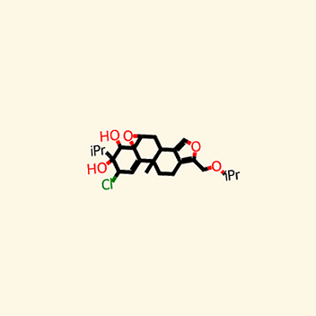 CC(C)OCc1occ2c1CCC1(C)C3=CC(Cl)C(O)(C(C)C)C(O)C34OC4CC21